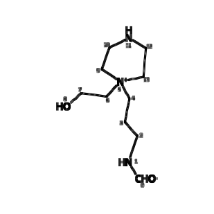 O=[C]NCCC[N+]1(CCO)CCNCC1